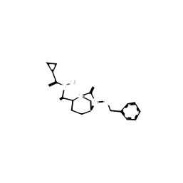 NN(C(=O)C1CC1)C(=O)C1CCC2CN1C(=O)N2OCc1ccccc1